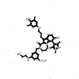 Cc1cc(OCCCc2c3n(c4c(-c5c(C)nn(C)c5C)c(Cl)ccc24)CCCN(Cc2cc(NCCC(C)C)cc(C(=O)O)c2)C3=O)cc(C)c1Cl